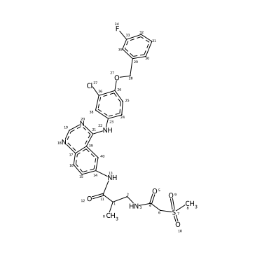 CC(CNC(=O)CS(C)(=O)=O)C(=O)Nc1ccc2ncnc(Nc3ccc(OCc4cccc(F)c4)c(Cl)c3)c2c1